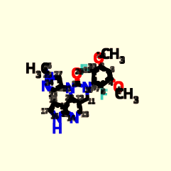 COc1cc(OC)c(F)c(N2Cc3cnc4[nH]ccc4c3N(c3cnn(C)c3)C2=O)c1F